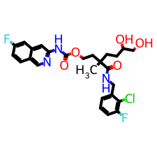 CC(CCOC(=O)Nc1cc2cc(F)ccc2cn1)(CCC(O)CO)C(=O)NCc1cccc(F)c1Cl